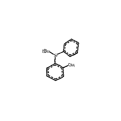 CC(C)(C)[Si](c1ccccc1)c1ccccc1O